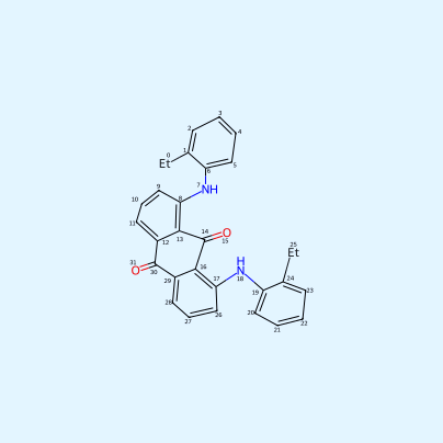 CCc1ccccc1Nc1cccc2c1C(=O)c1c(Nc3ccccc3CC)cccc1C2=O